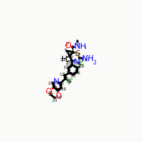 CNC(=O)[C@]12C[C@H]1[C@@](C)(c1cc(/C=C(\F)c3cc4c(cn3)OCCO4)ccc1F)N=C(N)S2